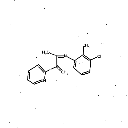 C=C(/C(C)=N\c1cccc(Cl)c1C)c1ccccn1